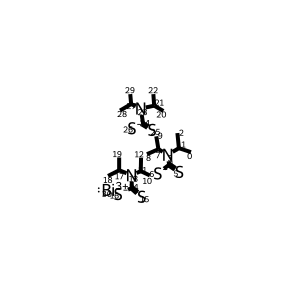 CC(C)N(C(=S)[S-])C(C)C.CC(C)N(C(=S)[S-])C(C)C.CC(C)N(C(=S)[S-])C(C)C.[Bi+3]